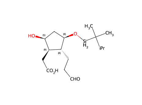 CC(C)C(C)(C)[SiH2]O[C@@H]1C[C@H](O)[C@H](CC(=O)O)[C@H]1CCC=O